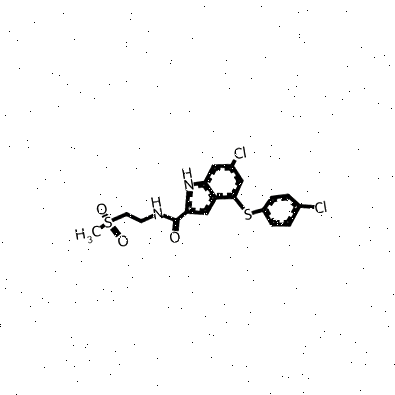 CS(=O)(=O)CCNC(=O)c1cc2c(Sc3ccc(Cl)cc3)cc(Cl)cc2[nH]1